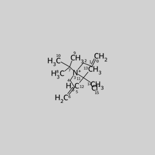 C=CC[N+](CC=C)(C(C)(C)C)C(C)(C)C.[Cl-]